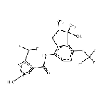 CC1Cc2c(NC(=O)c3cn(C)nc3C(F)F)ccc(OC(F)(F)F)c2C1(C)C